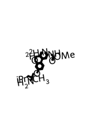 [2H]C1([2H])Oc2cc(OC[C@@](C)(N)CC(C)C)ccc2-c2cc(NC(=O)OC)ncc21